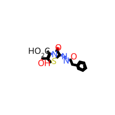 O=C(Cc1ccccc1)N=NC1C(=O)N2C(C(=O)O)=C(CO)CSC12